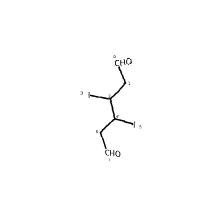 O=CCC(I)C(I)CC=O